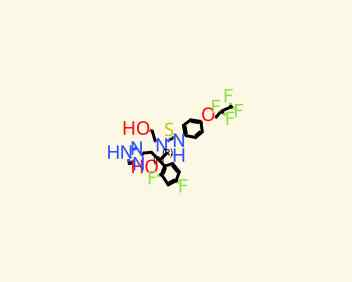 C[C@@H](N(CCO)C(=S)Nc1ccc(OCC(F)(F)C(F)F)cc1)[C@@](O)(Cc1nc[nH]n1)c1ccc(F)cc1F